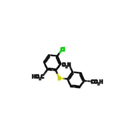 O=C(O)c1ccc(Sc2cc(Cl)ccc2C(=O)O)c([N+](=O)[O-])c1